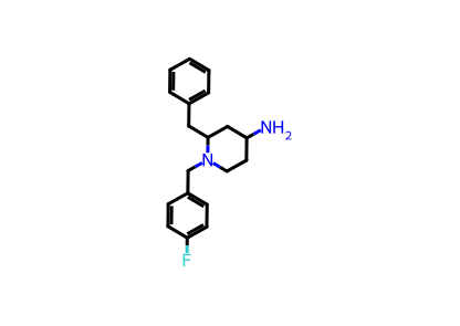 NC1CCN(Cc2ccc(F)cc2)C(Cc2ccccc2)C1